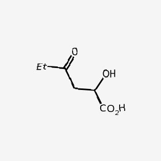 CCC(=O)CC(O)C(=O)O